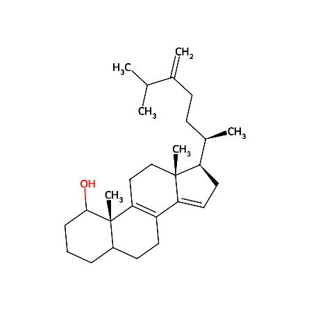 C=C(CC[C@@H](C)[C@H]1CC=C2C3=C(CC[C@@]21C)[C@@]1(C)C(O)CCCC1CC3)C(C)C